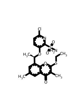 CCSc1oc2c([C@@H](C)Oc3ccc(Cl)nc3S(N)(=O)=O)cc(C)cc2c(=O)c1C